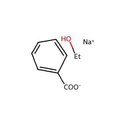 CCO.O=C([O-])c1ccccc1.[Na+]